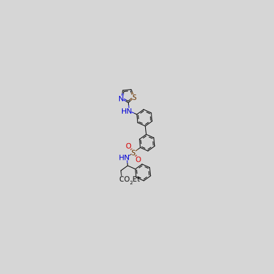 CCOC(=O)CC(NS(=O)(=O)c1cccc(-c2cccc(Nc3nccs3)c2)c1)c1ccccc1